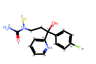 NC(=O)N(S)CCC(O)(c1ccc(F)cc1)c1ccccn1